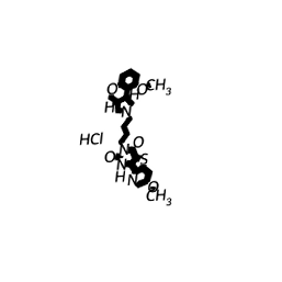 COc1cnc2c(c1)sc1c(=O)n(CCCCN3C[C@H]4COc5cccc(OC)c5[C@@H]4C3)c(=O)[nH]c12.Cl